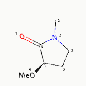 CO[C@@H]1CCN(C)C1=O